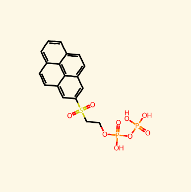 O=P(O)(O)OP(=O)(O)OCCS(=O)(=O)c1cc2ccc3cccc4ccc(c1)c2c34